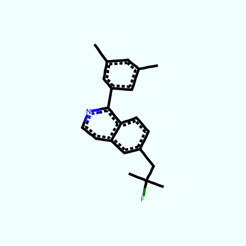 Cc1cc(C)cc(-c2nccc3cc(CC(C)(C)F)ccc23)c1